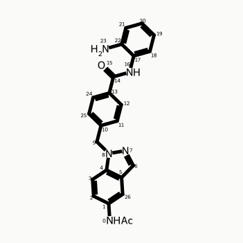 CC(=O)Nc1ccc2c(cnn2Cc2ccc(C(=O)Nc3ccccc3N)cc2)c1